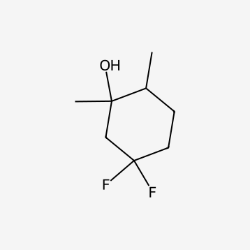 CC1CCC(F)(F)CC1(C)O